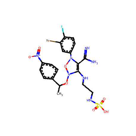 CC(ON1ON(c2ccc(F)c(Br)c2)C(C(=N)N)=C1NCCNS(=O)(=O)O)c1ccc([N+](=O)[O-])cc1